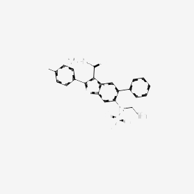 CNC(=O)c1c(-c2ccc(F)cc2)oc2cc(N(CC(C)C)S(C)(=O)=O)c(-c3ccccc3)cc12